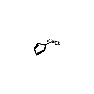 C[CH2][Ga-][CH]1C=CC=C1